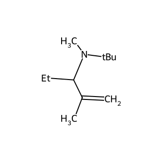 C=C(C)C(CC)N(C)C(C)(C)C